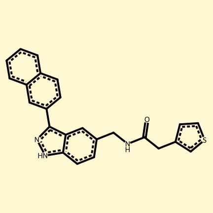 O=C(Cc1ccsc1)NCc1ccc2[nH]nc(-c3ccc4ccccc4c3)c2c1